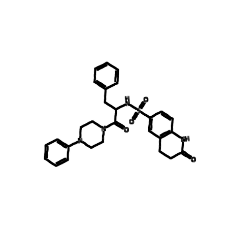 O=C1CCc2cc(S(=O)(=O)NC(Cc3ccccc3)C(=O)N3CCN(c4ccccc4)CC3)ccc2N1